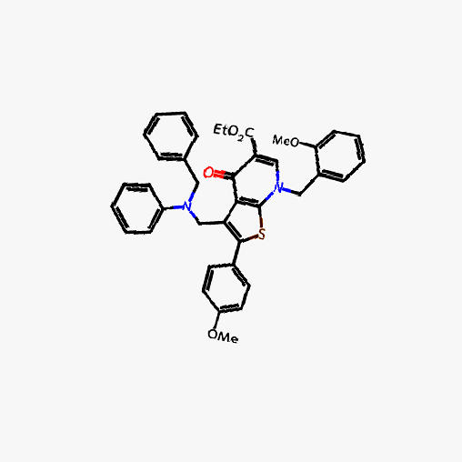 CCOC(=O)c1cn(Cc2ccccc2OC)c2sc(-c3ccc(OC)cc3)c(CN(Cc3ccccc3)c3ccccc3)c2c1=O